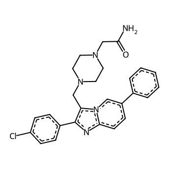 NC(=O)CN1CCN(Cc2c(-c3ccc(Cl)cc3)nc3ccc(-c4ccccc4)cn23)CC1